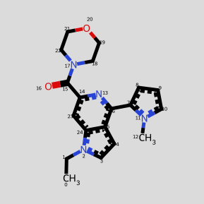 CCn1ccc2c(-c3cccn3C)nc(C(=O)N3CCOCC3)cc21